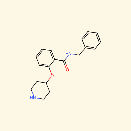 O=C(NCc1ccccc1)c1ccccc1OC1CCNCC1